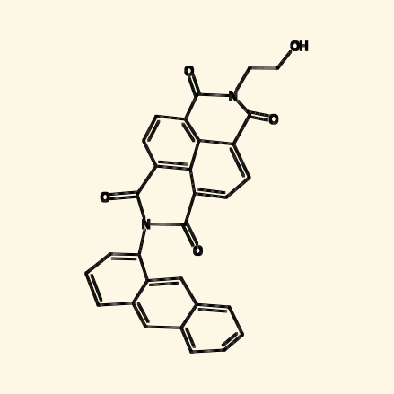 O=C1c2ccc3c4c(ccc(c24)C(=O)N1CCO)C(=O)N(c1cccc2cc4ccccc4cc12)C3=O